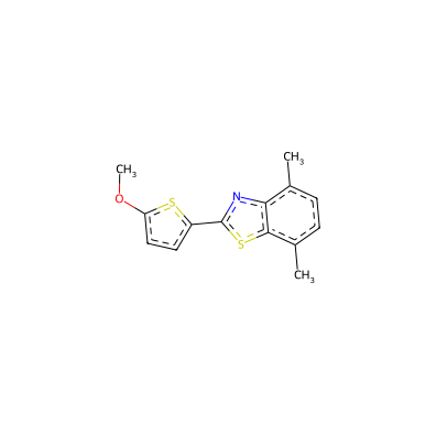 COc1ccc(-c2nc3c(C)ccc(C)c3s2)s1